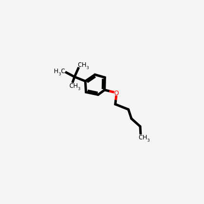 CCCCCOc1ccc(C(C)(C)C)cc1